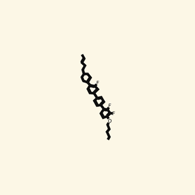 C/C=C/CCC1CC=C(c2ccc(-c3ccc(-c4ccc(OCCCCC)c(F)c4F)cc3)cc2F)CC1